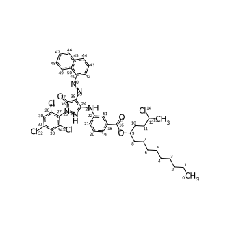 CCCCCCCCCC(CCC(C)Cl)OC(=O)c1cccc(Nc2[nH]n(-c3c(Cl)cc(Cl)cc3Cl)c(=O)c2N=Nc2cccc3ccccc23)c1